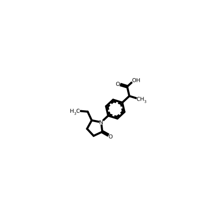 CCC1CCC(=O)N1c1ccc(C(C)C(=O)O)cc1